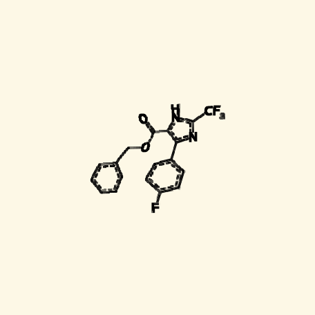 O=C(OCc1ccccc1)c1[nH]c(C(F)(F)F)nc1-c1ccc(F)cc1